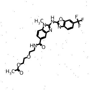 CC(=O)OCCOCCNC(=O)c1ccc2c(c1)nc(Nc1nc3ccc(C(F)(F)F)cc3o1)n2C